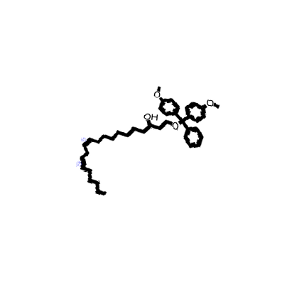 CCCCC/C=C\C/C=C\CCCCCCCC(O)CCOC(c1ccccc1)(c1ccc(OC)cc1)c1ccc(OC)cc1